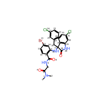 CN(C)C(=O)CNC(=O)c1ccc(Br)cc1NC1(Cc2cccc(Cl)c2)C(=O)Nc2cc(Cl)ccc21